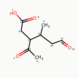 CC(=O)C(CC(=O)O)C(C)CC=O